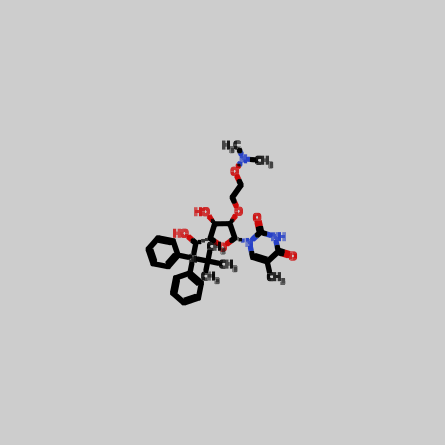 Cc1cn([C@@H]2O[C@H](C(O)[Si](c3ccccc3)(c3ccccc3)C(C)(C)C)[C@@H](O)[C@H]2OCCON(C)C)c(=O)[nH]c1=O